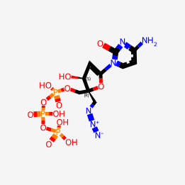 [N-]=[N+]=NC[C@]1(COP(=O)(O)OP(=O)(O)OP(=O)(O)O)OC(n2ccc(N)nc2=O)=C[C@@H]1O